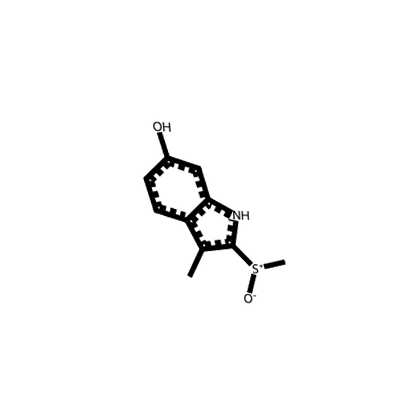 Cc1c([S+](C)[O-])[nH]c2cc(O)ccc12